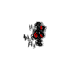 CC1(C)CC(C)(c2ccc(N(c3ccc4c(c3)C(C)(C)c3ccccc3-4)c3ccccc3-c3ccccc3)cc2)c2cc(N(c3ccc4c(c3)C(C)(C)c3ccccc3-4)c3ccccc3-c3ccccc3)ccc21